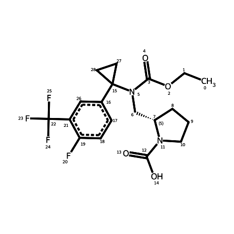 CCOC(=O)N(C[C@@H]1CCCN1C(=O)O)C1(c2ccc(F)c(C(F)(F)F)c2)CC1